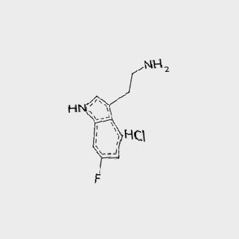 Cl.NCCc1c[nH]c2cc(F)ccc12